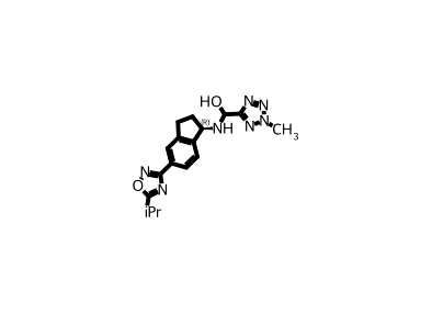 CC(C)c1nc(-c2ccc3c(c2)CC[C@H]3NC(O)c2nnn(C)n2)no1